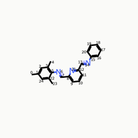 Cc1cc(C)c(/N=C/c2cccc(/C=N/c3ccccc3)n2)c(C)c1